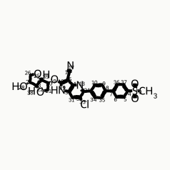 CS(=O)(=O)c1ccc(-c2ccc(-c3nc4c(C#N)c(O[C@@H]5CO[C@H]6[C@@H]5OC[C@H]6O)[nH]c4cc3Cl)cc2)cc1